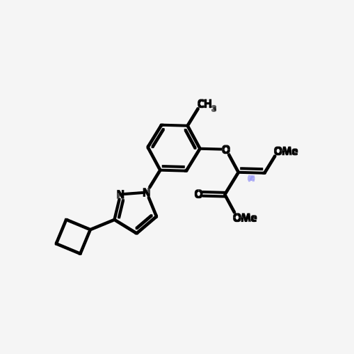 CO/C=C(\Oc1cc(-n2ccc(C3CCC3)n2)ccc1C)C(=O)OC